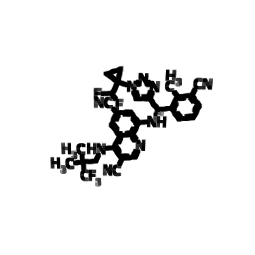 Cc1c(C#N)cccc1[C@H](Nc1cc(C#N)cc2c(NCC(C)(C)C(F)(F)F)c(C#N)cnc12)c1cn(C2(C(F)F)CC2)nn1